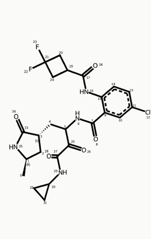 C[C@@H]1C[C@@H](CC(NC(=O)c2cc(Cl)ccc2NC(=O)C2CC(F)(F)C2)C(=O)C(=O)NC2CC2)C(=O)N1